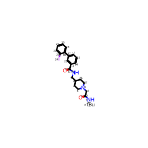 CC(C)(C)NC(=O)CN1CCC(CNC(=O)c2cccc(-c3ccccc3I)c2)CC1